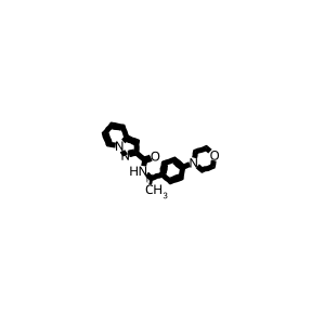 C[C@@H](NC(=O)c1cc2ccccn2n1)c1ccc(N2CCOCC2)cc1